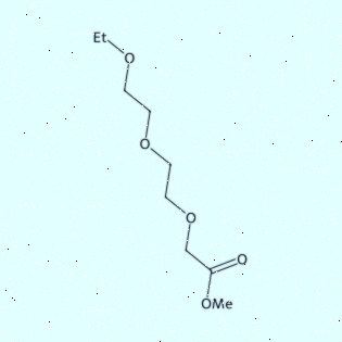 [CH2]COCCOCCOCC(=O)OC